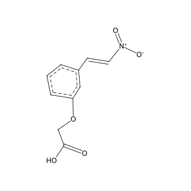 O=C(O)COc1cccc(/C=C/[N+](=O)[O-])c1